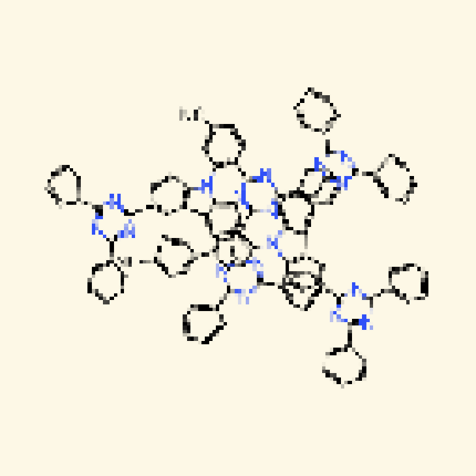 N#Cc1ccc(-c2ccc(-n3c4ccc(-c5nc(-c6ccccc6)nc(-c6ccccc6)n5)cc4c4cc(-c5nc(-c6ccccc6)nc(-c6ccccc6)n5)ccc43)c(-c3nc(-c4ccccc4)nc(-c4ccc(C#N)cc4-n4c5ccc(-c6nc(-c7ccccc7)nc(-c7ccccc7)n6)cc5c5cc(-c6nc(-c7ccccc7)nc(-c7ccccc7)n6)ccc54)n3)c2)cc1